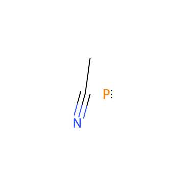 CC#N.[P]